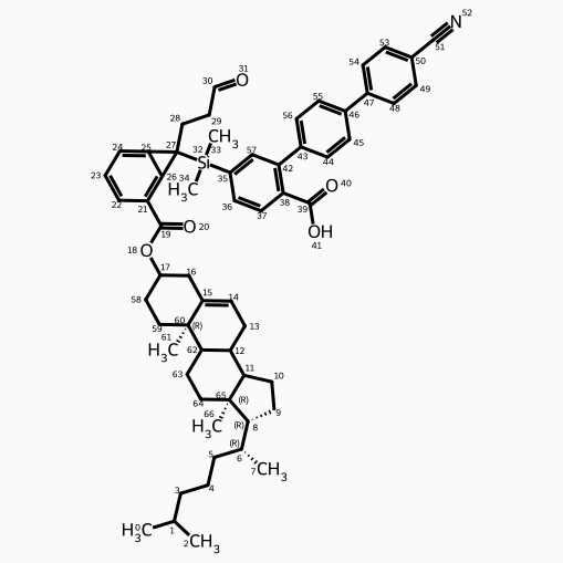 CC(C)CCC[C@@H](C)[C@H]1CCC2C3CC=C4CC(OC(=O)c5cccc6c5C6(CCC=O)[Si](C)(C)c5ccc(C(=O)O)c(-c6ccc(-c7ccc(C#N)cc7)cc6)c5)CC[C@]4(C)C3CC[C@@]21C